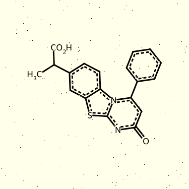 CC(C(=O)O)c1ccc2c(c1)sc1nc(=O)cc(-c3ccccc3)n12